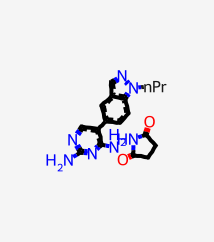 CCCn1ncc2cc(-c3cnc(N)nc3N)ccc21.O=C1CCC(=O)N1